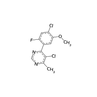 COc1cc(-c2ncnc(C)c2Cl)c(F)cc1Cl